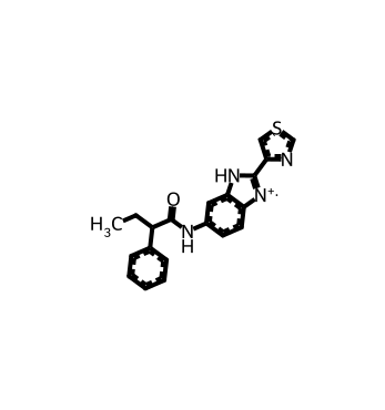 CCC(C(=O)Nc1ccc2c(c1)NC(c1cscn1)=[N+]2)c1ccccc1